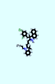 CC(C)CCN1/C(=C/C=C/C2=[N+](C)c3ccc4ccccc4c3C2(C)Cc2ccc(Br)cc2F)C(C)(C)c2ccccc21